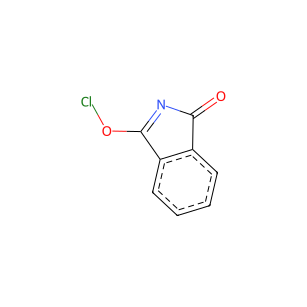 O=C1N=C(OCl)c2ccccc21